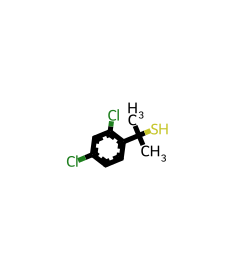 CC(C)(S)c1ccc(Cl)cc1Cl